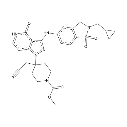 COC(=O)N1CCC(CC#N)(n2nc(Nc3ccc4c(c3)CN(CC3CC3)S4(=O)=O)c3c(=O)[nH]ccc32)CC1